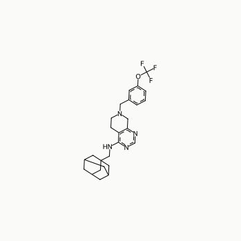 FC(F)(F)Oc1cccc(CN2CCc3c(ncnc3NCC34CC5CC(CC(C5)C3)C4)C2)c1